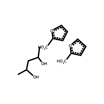 CC(O)CC(C)O.O=C(O)c1ccco1.O=C(O)c1ccco1